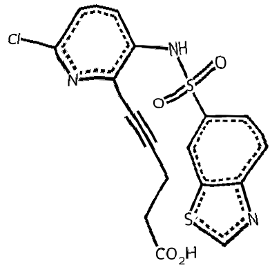 O=C(O)CCC#Cc1nc(Cl)ccc1NS(=O)(=O)c1ccc2ncsc2c1